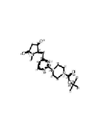 CN1C(=O)CC(=O)/C1=C/c1ccnc(N2CCN(C(=O)OC(C)(C)C)CC2)n1